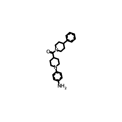 Nc1ccc(N2CCC(C(=O)N3CCC(c4ccccc4)CC3)CC2)cc1